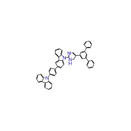 C1=C(c2cc(-c3ccccc3)cc(-c3ccccc3)c2)CNC(n2c3ccccc3c3cc(-c4ccc(-n5c6ccccc6c6ccccc65)cc4)ccc32)=N1